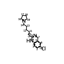 Clc1ccc2c(c1)CN=C(SCCCCN1CCCC1)N2